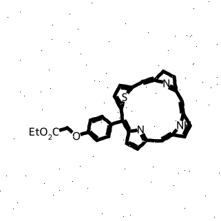 CCOC(=O)COc1ccc(-c2c3nc(cc4ccc(cc5nc(cc6ccc2s6)CC5)[nH]4)C=C3)cc1